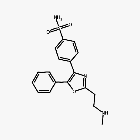 CNCCc1nc(-c2ccc(S(N)(=O)=O)cc2)c(-c2ccccc2)o1